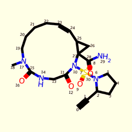 C#CC1CCCN1S(=O)(=O)N1C(=O)CNC(=O)N(C)CCCCC=CC2CC21C(N)=O